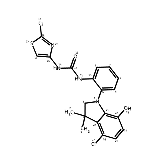 CC1(C)CN(c2ccccc2NC(=O)Nc2csc(Cl)n2)c2c(O)ccc(Cl)c21